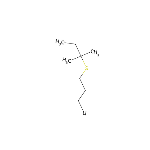 [Li][CH2]CCSC(C)(C)CC